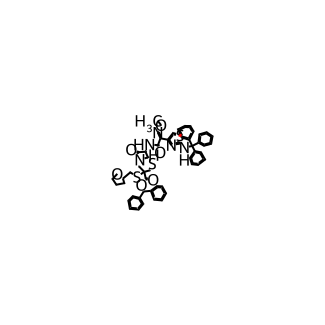 CON=C(C(=O)NC1C(=O)N2CC(SCC3CCCO3)(C(=O)OC(c3ccccc3)c3ccccc3)CS[C@H]12)c1csc(NC(c2ccccc2)(c2ccccc2)c2ccccc2)n1